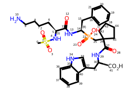 CS(=O)(=O)N[C@@H](CCCCN)C(=O)N[C@@H](Cc1ccccc1)P(=O)(O)CC1(C(=O)NC(Cc2c[nH]c3ccccc23)C(=O)O)CCCC1